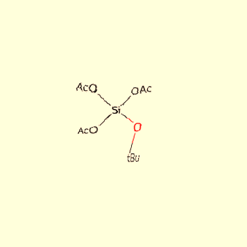 CC(=O)O[Si](OC(C)=O)(OC(C)=O)OC(C)(C)C